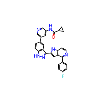 O=C(Nc1cncc(-c2ccc3[nH]nc(-c4cc5c(-c6ccc(F)cc6)nccc5[nH]4)c3c2)c1)C1CC1